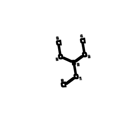 ClOB(OCl)OCl